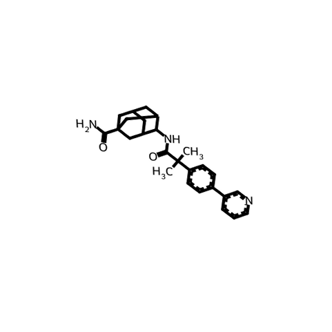 CC(C)(C(=O)NC1C2CC3CC1CC(C(N)=O)(C3)C2)c1ccc(-c2cccnc2)cc1